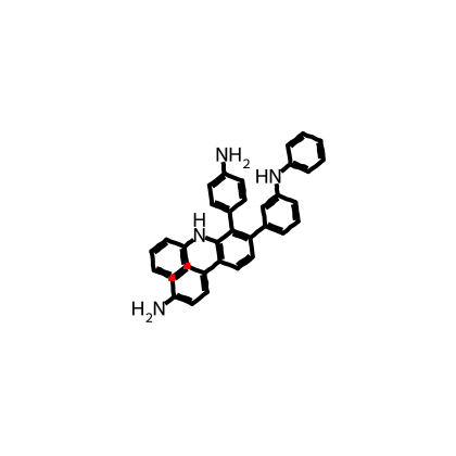 Nc1ccc(-c2ccc(-c3cccc(Nc4ccccc4)c3)c(-c3ccc(N)cc3)c2Nc2ccccc2)cc1